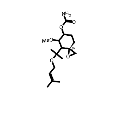 COC1C(OC(N)=O)CC[C@]2(CO2)C1C(C)(C)OCC=C(C)C